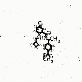 COC(=O)c1ccc([C@H](C)NC(=O)c2cc(Cl)ccc2OCC2CCC2)cc1